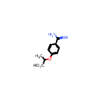 CC(Oc1ccc(C(=N)N)cc1)C(=O)O